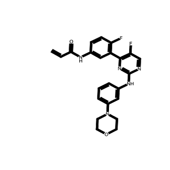 C=CC(=O)Nc1ccc(F)c(-c2nc(Nc3cccc(N4CCOCC4)c3)ncc2F)c1